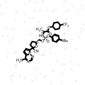 C[C@H](NP(=O)(OC[C@@H]1CCC(C#N)(c2ccc3c(N)ncnn23)O1)Oc1ccc(C(C)(C)C)cc1)C(=O)OC1CCC(C(F)(F)F)CC1